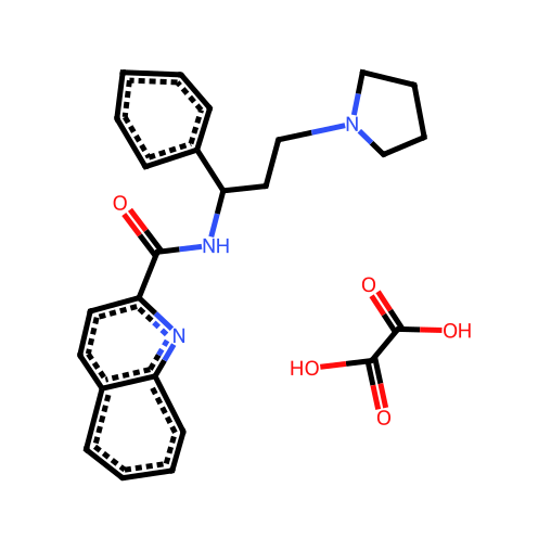 O=C(NC(CCN1CCCC1)c1ccccc1)c1ccc2ccccc2n1.O=C(O)C(=O)O